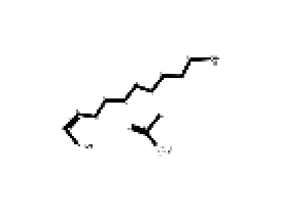 C=C(C)C(=O)O.CCCCCCCC/C=C\CCCCCCCCO